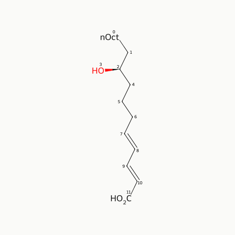 CCCCCCCCC[C@H](O)CCCC=CC=CC(=O)O